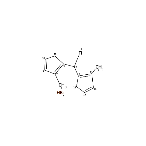 Br.CC1=C([CH]([Ti])C2=C(C)C=CC2)CC=C1